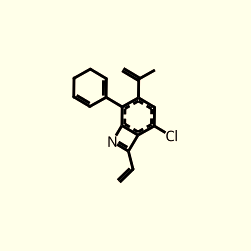 C=CC1=Nc2c1c(Cl)cc(C(=C)C)c2C1=CCCC=C1